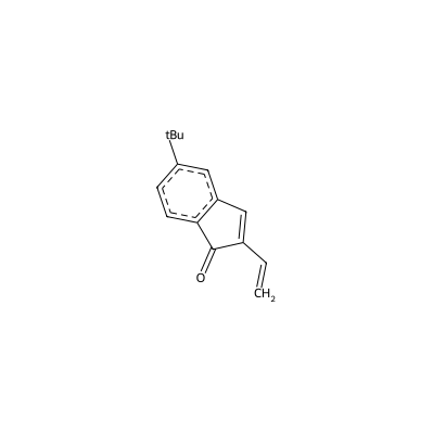 C=CC1=Cc2cc(C(C)(C)C)ccc2C1=O